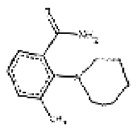 Cc1cccc(C(N)=O)c1N1CCCCC1